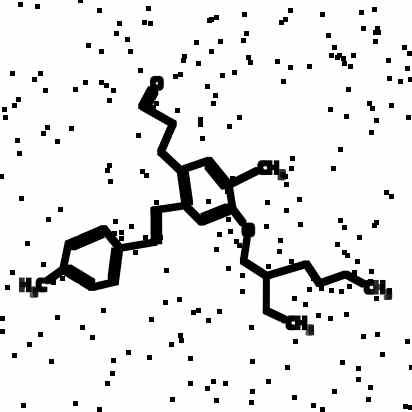 CCCCC(CC)COc1cc(/C=C/c2ccc(C)cc2)c(CCC=O)cc1C